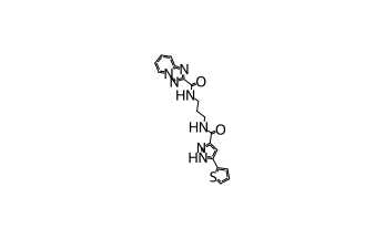 O=C(NCCCNC(=O)c1nc2ccccn2n1)c1cc(-c2cccs2)[nH]n1